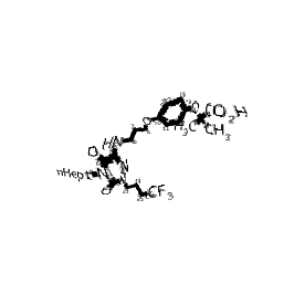 CCCCCCCn1c(=O)c(NCCCOc2ccc(OC(C)(C)C(=O)O)cc2)nn(CCCC(F)(F)F)c1=O